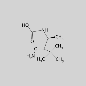 C[C@H](NC(=O)O)C(ON)C(C)(C)C